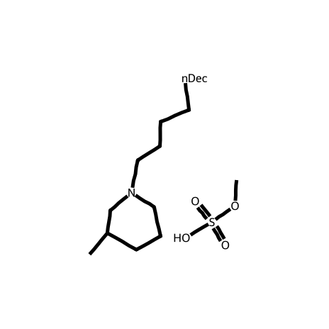 CCCCCCCCCCCCCCN1CCCC(C)C1.COS(=O)(=O)O